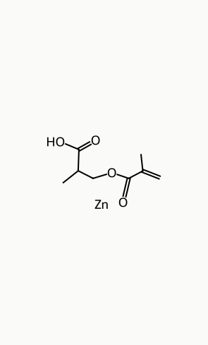 C=C(C)C(=O)OCC(C)C(=O)O.[Zn]